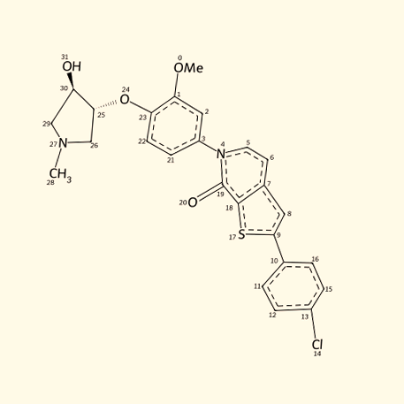 COc1cc(-n2ccc3cc(-c4ccc(Cl)cc4)sc3c2=O)ccc1O[C@@H]1CN(C)C[C@H]1O